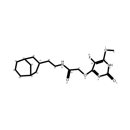 COc1[nH]c(=O)nc(OCC(=O)NCCC2CC3CCCC(C3)C2)c1F